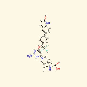 CCC1NC(C(=O)O)CC12CCN(c1cc(O[C@H](c3ccc(-c4ccc5c(c4)CCC(=O)N5)cc3)C(F)(F)F)nc(N)n1)CC2